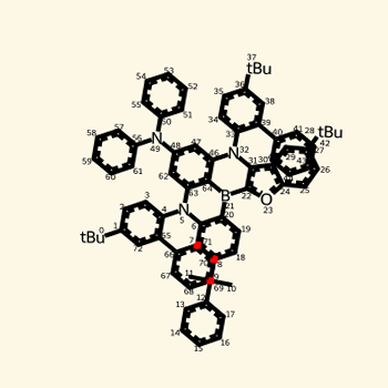 CC(C)(C)c1ccc(N2c3cc(C(C)(C)c4ccccc4)ccc3B3c4oc5ccc(C(C)(C)C)cc5c4N(c4ccc(C(C)(C)C)cc4-c4ccccc4)c4cc(N(c5ccccc5)c5ccccc5)cc2c43)c(-c2ccccc2)c1